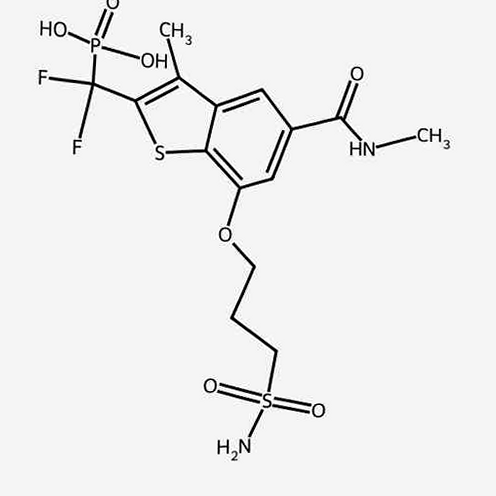 CNC(=O)c1cc(OCCCS(N)(=O)=O)c2sc(C(F)(F)P(=O)(O)O)c(C)c2c1